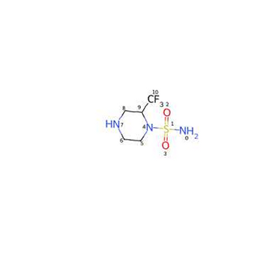 NS(=O)(=O)N1CCNCC1C(F)(F)F